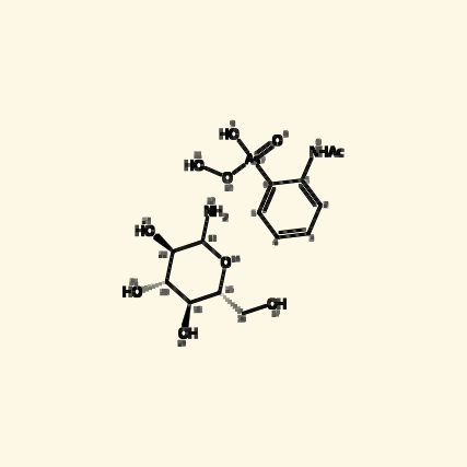 CC(=O)Nc1ccccc1[As](=O)(O)OO.NC1O[C@H](CO)[C@@H](O)[C@H](O)[C@H]1O